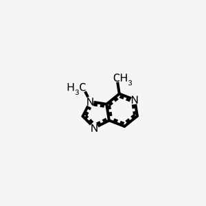 Cc1nccc2ncn(C)c12